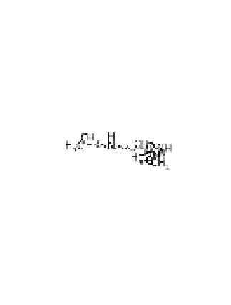 C=O.CC(C)CCCCCNCCCCCC(C)C.Cc1cccc2[nH]nnc12